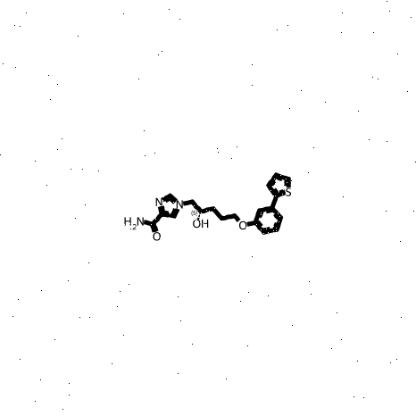 NC(=O)c1cn(C[C@@H](O)CCCOc2cccc(-c3cccs3)c2)cn1